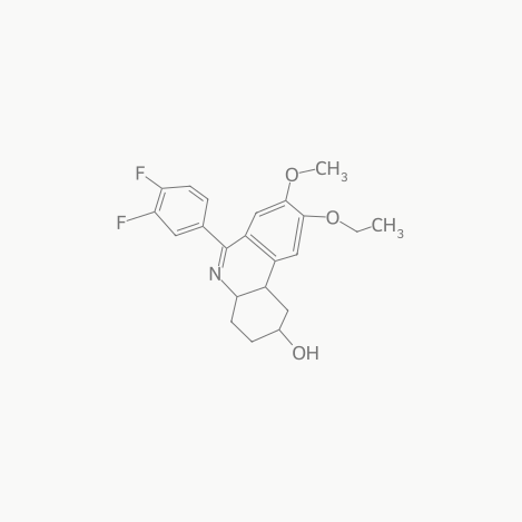 CCOc1cc2c(cc1OC)C(c1ccc(F)c(F)c1)=NC1CCC(O)CC21